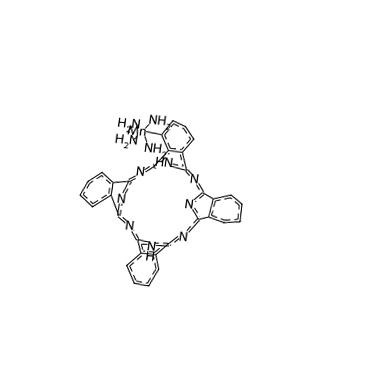 [NH2][Mn]([NH2])([NH2])([NH2])[c]1cccc2c3nc4nc(nc5[nH]c(nc6nc(nc([nH]3)c12)-c1ccccc1-6)c1ccccc51)-c1ccccc1-4